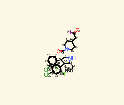 CC(C)(C)C[C@@H]1N[C@@H](C(=O)N2CCC(CC(=O)I)CC2)[C@H](c2cccc(Cl)c2F)[C@@]1(C#N)c1ccc(Cl)cc1F